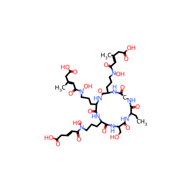 CCC1NC(=O)C(CO)NC(=O)C(CCCN(O)C(=O)/C=C/CC(=O)O)NC(=O)C(CCCN(O)C(=O)/C=C(\C)CC(=O)O)NC(=O)C(CCCN(O)C(=O)/C=C(\C)CC(=O)O)NC(=O)CNC1=O